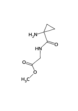 COC(=O)CNC(=O)C1(N)CC1